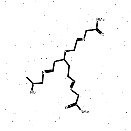 CNC(=O)CN=CCCC(CC=NCC(C)N=O)CCC=NCC(=O)NC